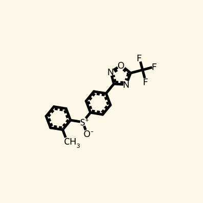 Cc1ccccc1[S+]([O-])c1ccc(-c2noc(C(F)(F)F)n2)cc1